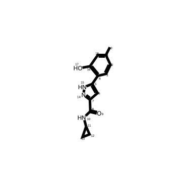 Cc1ccc(-c2cc(C(=O)NC3CC3)n[nH]2)c(O)c1